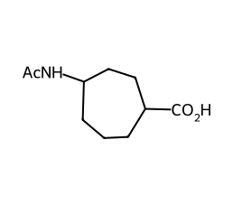 CC(=O)NC1CCCC(C(=O)O)CC1